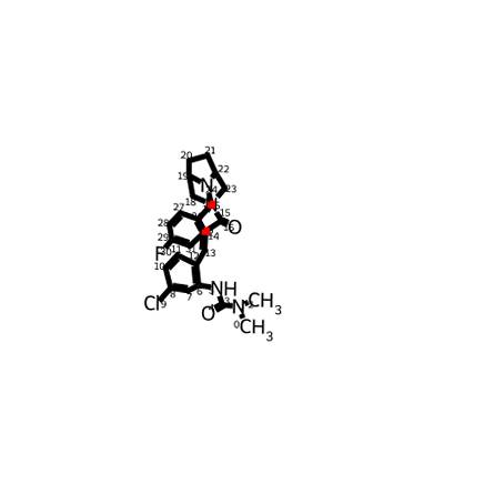 CN(C)C(=O)Nc1cc(Cl)ccc1/C=C/C(=O)N1CC2CCC(C1)N2Cc1ccc(F)cc1